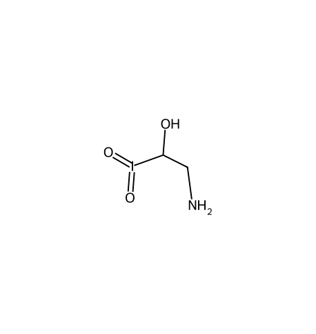 NCC(O)I(=O)=O